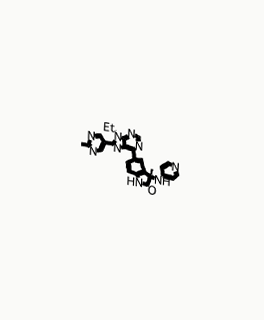 CCn1c(-c2cnc(C)nc2)nc2c(-c3ccc4c(c3)[C@](C)(Nc3ccncc3)C(=O)N4)ncnc21